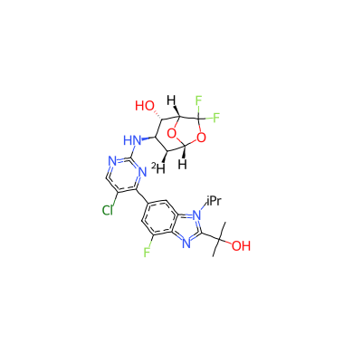 [2H][C@@H]1[C@@H]2O[C@H]([C@@H](O)[C@@H]1Nc1ncc(Cl)c(-c3cc(F)c4nc(C(C)(C)O)n(C(C)C)c4c3)n1)C(F)(F)O2